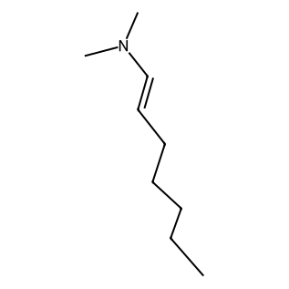 CCCCCC=CN(C)C